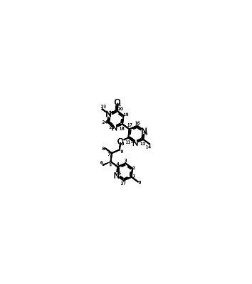 Cc1ccc([C@@H](C)C(C)COc2nc(C)ncc2-c2cc(=O)n(C)cn2)nc1